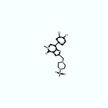 Cn1cc(-c2ccc(Cl)c(Cl)c2)c2sc(CN3CCN(S(C)(=O)=O)CC3)cc2c1=O